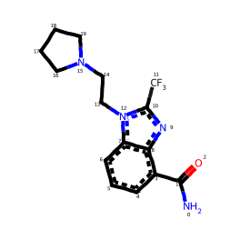 NC(=O)c1[c]ccc2c1nc(C(F)(F)F)n2CCN1CCCC1